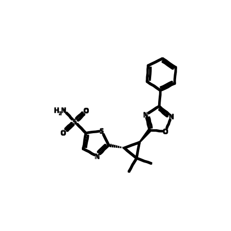 CC1(C)[C@H](c2nc(-c3ccccc3)no2)[C@H]1c1ncc(S(N)(=O)=O)s1